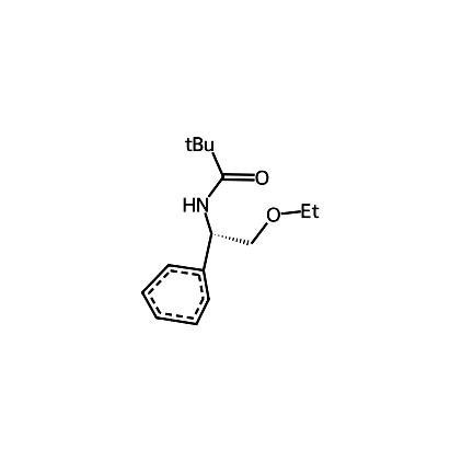 CCOC[C@@H](NC(=O)C(C)(C)C)c1ccccc1